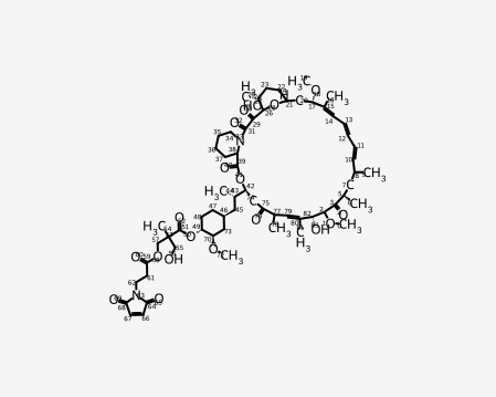 COC1C(=O)[C@H](C)CC(C)/C=C/C=C/C=C(\C)[C@@H](OC)C[C@@H]2CC[C@@H](C)[C@@](O)(O2)C(=O)C(=O)N2CCCCC2C(=O)O[C@H]([C@@H](C)C[C@@H]2CC[C@@H](OC(=O)C(C)(CO)COC(=O)CCN3C(=O)C=CC3=O)[C@H](OC)C2)CC(=O)C(C)/C=C(\C)[C@H]1O